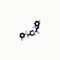 O=C(Nc1cccc(Cl)c1)C1CCN(C(=O)c2cc3cc(F)ccc3[nH]2)CC1